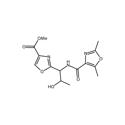 COC(=O)c1coc(C(NC(=O)c2nc(C)oc2C)C(C)O)n1